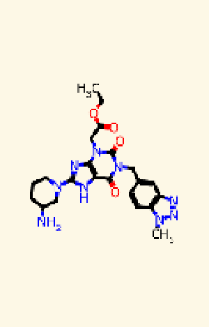 CCOC(=O)Cn1c(=O)n(Cc2ccc3c(c2)nnn3C)c(=O)c2[nH]c(N3CCCC(N)C3)nc21